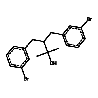 CC(C)(O)C(Cc1cccc(Br)c1)Cc1cccc(Br)c1